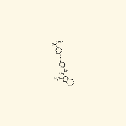 COC(=O)c1ccc(CCc2ccc(NC(=O)c3cc4c(cc3N)CCCC4)cc2)cc1